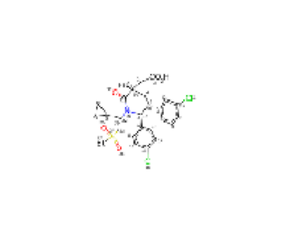 CC[C@@]1(CC(=O)O)C[C@H](c2cccc(Cl)c2)[C@@H](c2ccc(Cl)cc2)N([C@H](CS(=O)(=O)CC)C2CC2)C1=O